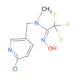 CN(Cc1ccc(Cl)nc1)/C(=N/O)C(F)(F)F